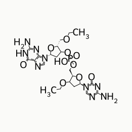 CCOC[C@H]1O[C@@H](n2cnc3c(=O)[nH]c(N)nc32)CC1OP(=O)(O)OC[C@H]1O[C@@H](n2cnc(N)nc2=O)CC1OCC